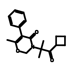 CC1=C(c2ccccc2)C(=O)N(C(C)(C)C(=O)C2CCC2)CO1